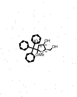 COC1(C(c2ccccc2)(c2ccccc2)c2ccccc2)O[C@H](CO)[C@H](O)[C@H]1O